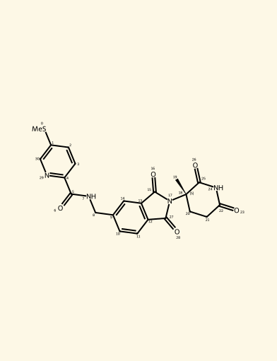 CSc1ccc(C(=O)NCc2ccc3c(c2)C(=O)N([C@@]2(C)CCC(=O)NC2=O)C3=O)nc1